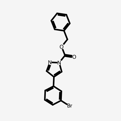 O=C(OCc1ccccc1)n1cc(-c2cccc(Br)c2)cn1